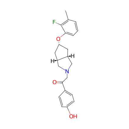 Cc1cccc(O[C@@H]2C[C@@H]3CN(CC(=O)c4ccc(O)cc4)C[C@@H]3C2)c1F